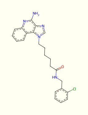 Nc1nc2ccccc2c2c1ncn2CCCCCC(=O)NCc1ccccc1Cl